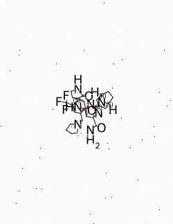 NC(=O)c1cc(N[C@H]2CCNC2=O)nc(N2[C@@H]3CC[C@H]2C[C@H](Oc2ccc(C(F)(F)F)cc2CN2CCCC2)C3)n1